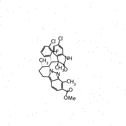 COC(=O)c1ccc2c3n(nc2c1C)[C@@H]([C@H](c1cccc(Cl)c1F)[C@@]1(C)C(=O)Nc2cc(Cl)ccc21)[C@@H](C)CC3